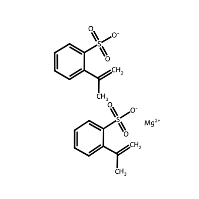 C=C(C)c1ccccc1S(=O)(=O)[O-].C=C(C)c1ccccc1S(=O)(=O)[O-].[Mg+2]